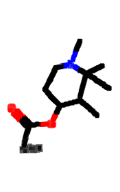 CCCCCCC(=O)OC1CCN(C)C(C)(C)C1C